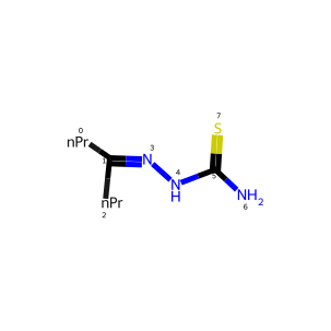 CCCC(CCC)=NNC(N)=S